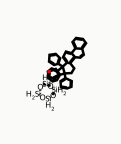 O1[SiH2]O[SiH2]O[SiH2]O[SiH2]1.c1ccc(C2(c3ccccc3)CCc3c(ccc4c3ccc3ccccc34)C2(c2ccccc2)c2ccccc2)cc1